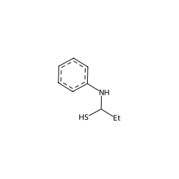 CCC(S)Nc1ccccc1